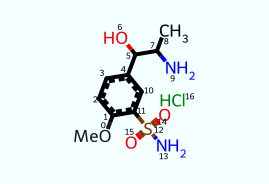 COc1ccc(C(O)C(C)N)cc1S(N)(=O)=O.Cl